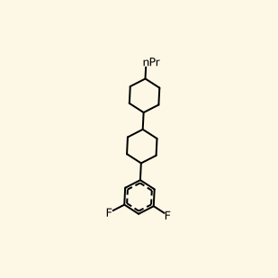 CCCC1CCC(C2CCC(c3cc(F)cc(F)c3)CC2)CC1